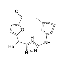 Cc1cccc(Nc2nnc(C(S)c3ccc(C=O)o3)[nH]2)c1